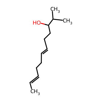 CC=CCCC=CCCC(O)C(C)C